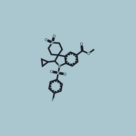 COC(=O)c1ccc2c(c1)C1(CCS(=O)(=O)CC1)C(C1CC1)N2S(=O)(=O)c1ccc(F)cc1